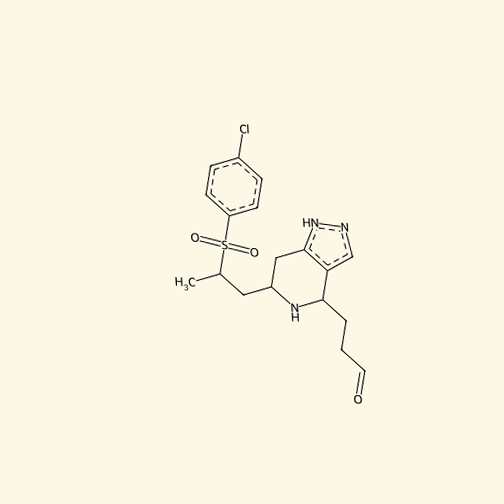 CC(CC1Cc2[nH]ncc2C(CCC=O)N1)S(=O)(=O)c1ccc(Cl)cc1